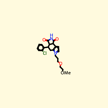 COCCOCCCn1ccc2c1CC(c1ccccc1Cl)C1C(=O)NC(=O)C21